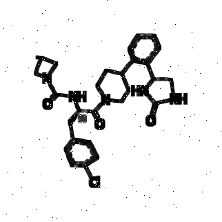 O=C1NCC(c2ccccc2C2CCN(C(=O)[C@@H](Cc3ccc(Cl)cc3)NC(=O)N3C[CH]C3)CC2)N1